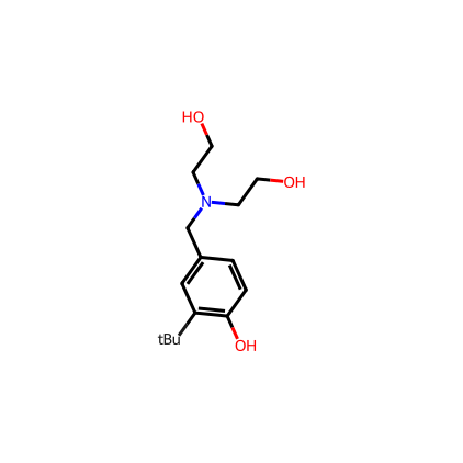 CC(C)(C)c1cc(CN(CCO)CCO)ccc1O